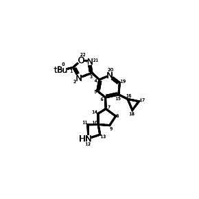 CC(C)(C)c1nc(-c2cc(C3CCC4(CNC4)C3)c(C3CC3)cn2)no1